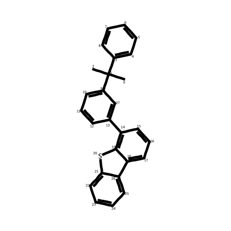 CC(C)(c1ccccc1)c1cccc(-c2cccc3c2sc2ccccc23)c1